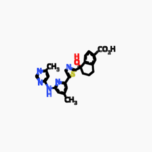 Cc1cc(Nc2cc(C)ncn2)nc(-c2cnc([C@@]3(O)CCCc4cc(C(=O)O)ccc43)s2)c1